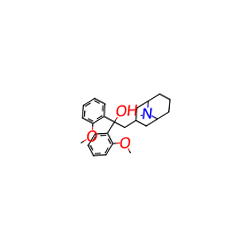 COc1ccccc1C(O)(CC1CC2CCCC(C1)N2C)c1ccccc1OC